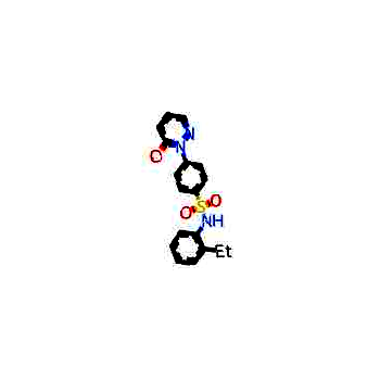 CCc1ccccc1NS(=O)(=O)c1ccc(-n2ncccc2=O)cc1